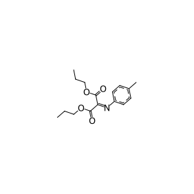 CCCOC(=O)C(=Nc1ccc(C)cc1)C(=O)OCCC